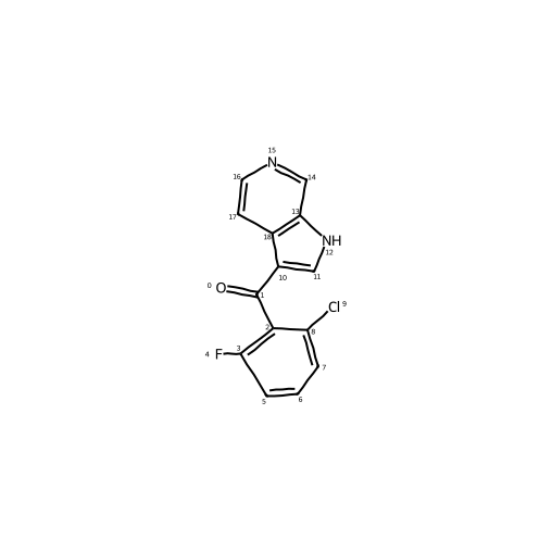 O=C(c1c(F)cccc1Cl)c1c[nH]c2cnccc12